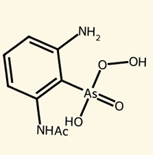 CC(=O)Nc1cccc(N)c1[As](=O)(O)OO